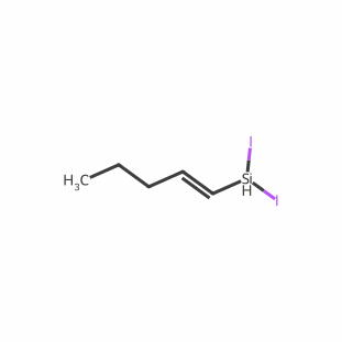 CCCC=C[SiH](I)I